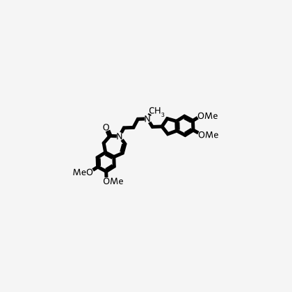 COc1cc2c(cc1OC)CC(=O)N(CCCN(C)CC1Cc3cc(OC)c(OC)cc3C1)C=C2